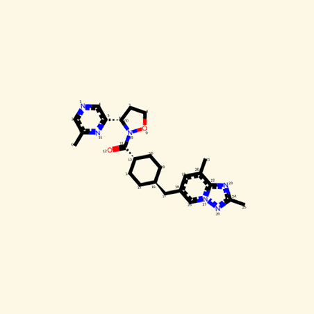 Cc1cncc([C@@H]2CCON2C(=O)[C@H]2CC[C@H](Cc3cc(C)c4nc(C)nn4c3)CC2)n1